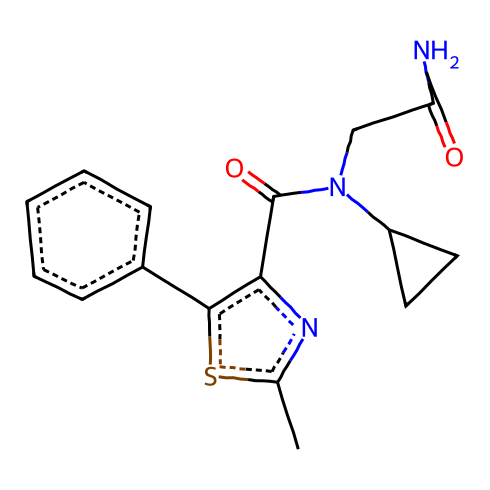 Cc1nc(C(=O)N(CC(N)=O)C2CC2)c(-c2ccccc2)s1